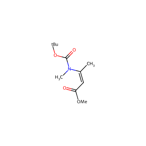 COC(=O)C=C(C)N(C)C(=O)OC(C)(C)C